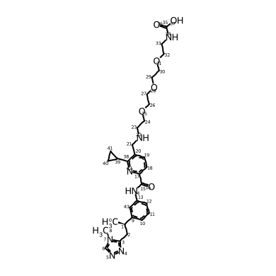 C[C@H](Cc1nncn1C)c1cccc(NC(=O)c2ccc(CNCCOCCOCCOCCNC(=O)O)c(C3CC3)n2)c1